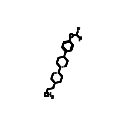 CCC[C@H]1CC[C@H]([C@H]2CC[C@H](c3ccc(OC(F)F)cc3)CC2)CC1